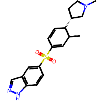 CC1C=C(S(=O)(=O)c2ccc3[nH]ncc3c2)C=CC1[C@@H]1CCN(C)C1